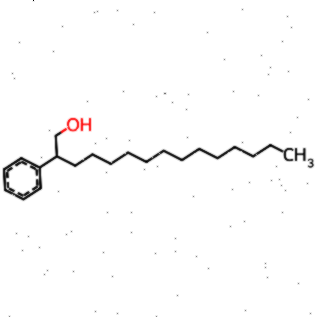 CCCCCCCCCCCCCC(CO)c1ccccc1